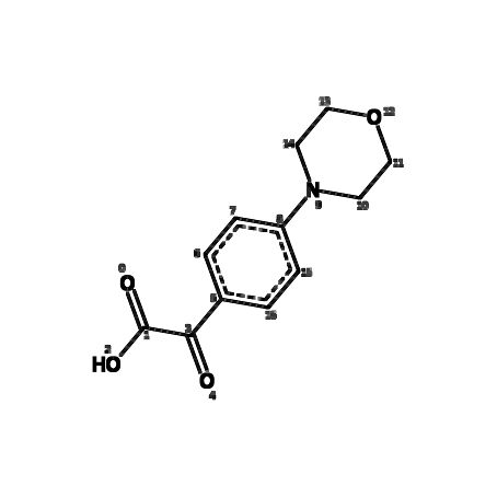 O=C(O)C(=O)c1ccc(N2CCOCC2)cc1